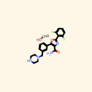 NC(=O)c1nc(-c2c(F)cccc2F)oc1-c1cccc(CN2CCNCC2)c1.O=CO